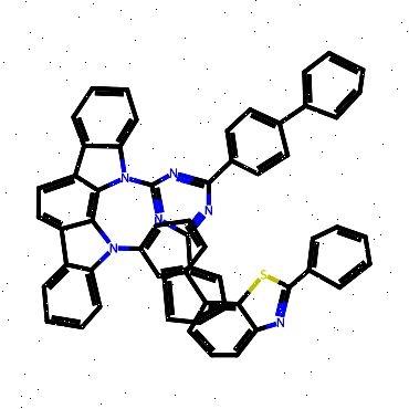 c1ccc(-c2ccc(-c3nc(-c4ccccc4)nc(-n4c5ccccc5c5ccc6c7ccccc7n(-c7cccc(-c8cccc9nc(-c%10ccccc%10)sc89)c7)c6c54)n3)cc2)cc1